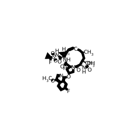 COc1cnc(O[C@@H]2C[C@H]3C(=O)N[C@]4(C(=O)NS(=O)(=O)C5(F)CC5)C[C@H]4C=CCC[C@H](C)C[C@@H](C)[C@H](NC(=O)O)C(=O)N3C2)c2cc(F)ccc12